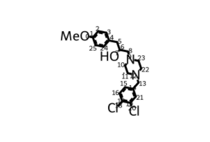 COc1ccc(CC(O)CN2C[CH]N(Cc3ccc(Cl)c(Cl)c3)CC2)cc1